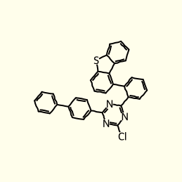 Clc1nc(-c2ccc(-c3ccccc3)cc2)nc(-c2ccccc2-c2cccc3sc4ccccc4c23)n1